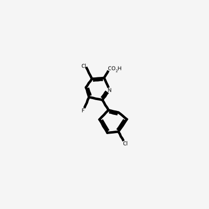 O=C(O)c1nc(-c2ccc(Cl)cc2)c(F)cc1Cl